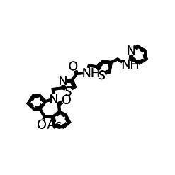 CC(=O)OC1c2ccccc2C(=O)N(Cc2nc(C(=O)NCc3cc(CNc4ccccn4)cs3)cs2)c2ccccc21